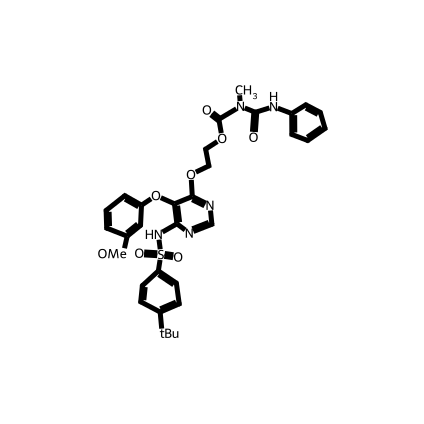 COc1cccc(Oc2c(NS(=O)(=O)c3ccc(C(C)(C)C)cc3)ncnc2OCCOC(=O)N(C)C(=O)Nc2ccccc2)c1